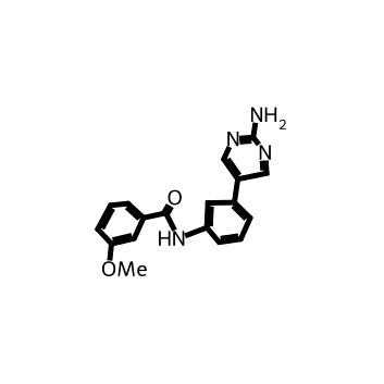 COc1cccc(C(=O)Nc2cccc(-c3cnc(N)nc3)c2)c1